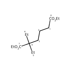 CCOC(=O)CCCC(CC)(CC)C(=O)OCC